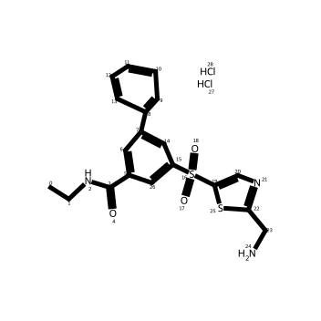 CCNC(=O)c1cc(-c2ccccc2)cc(S(=O)(=O)c2cnc(CN)s2)c1.Cl.Cl